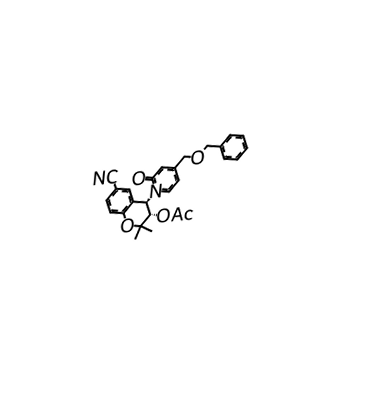 CC(=O)O[C@H]1[C@H](n2ccc(COCc3ccccc3)cc2=O)c2cc(C#N)ccc2OC1(C)C